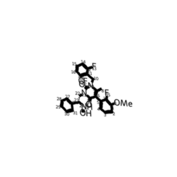 COc1cccc(-c2c(C)n(Cc3c(F)cccc3C(F)(F)F)c(=O)n(C[C@H](NO)c3ccccc3)c2=O)c1F